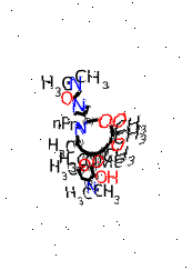 CCCN1C[C@H](C)C[C@@](C)(OC)[C@H](O[C@@H]2O[C@H](C)C[C@H](N(C)C)[C@H]2O)[C@@H](C)C(=O)C(C)(C)C(=O)OC[C@H]1C1CN(C(=O)CN(C)C)C1